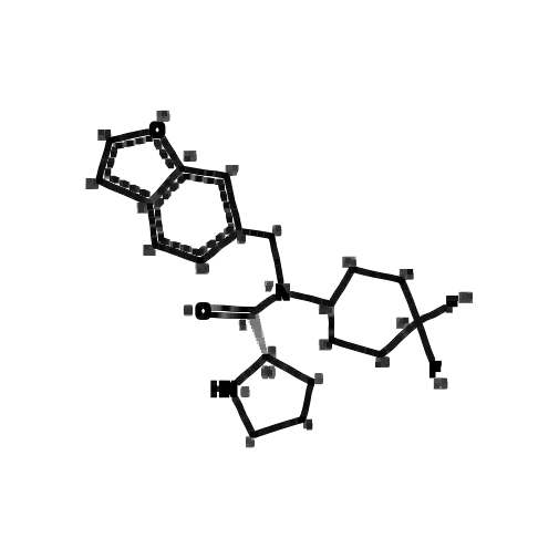 O=C([C@@H]1CCCN1)N(Cc1ccc2ccoc2c1)C1CCC(F)(F)CC1